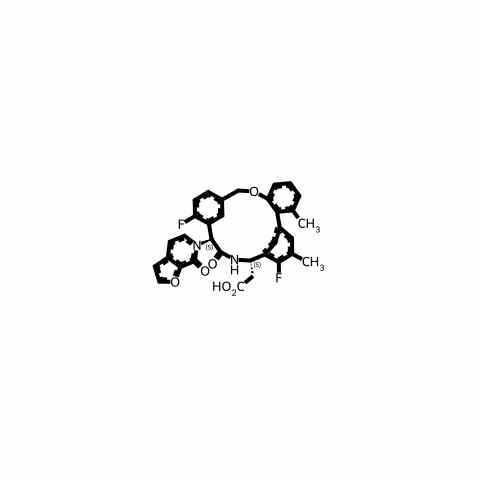 Cc1cc2cc(c1F)[C@H](CC(=O)O)NC(=O)[C@@H](n1ccc3ccoc3c1=O)c1cc(ccc1F)COc1cccc(C)c1-2